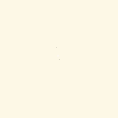 Cc1cc([N+](=O)[O-])ccc1/N=C1\SCC(CC(C)C)N1CC(C)C